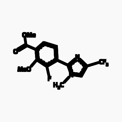 COC(=O)c1ccc(-c2nc(C(F)(F)F)cn2C)c(F)c1OC